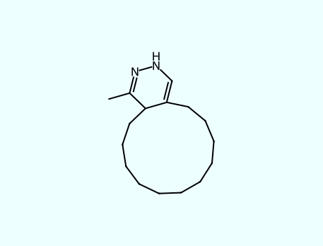 CC1=NNC=C2CCCCCCCCCCCC21